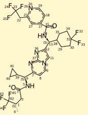 C[C@@H](CC(=O)N[C@H](c1ccn2cc([C@@H](NC(=O)c3ccnc(CC(F)(F)F)c3)C3CCC(F)(F)CC3)nc2n1)C1CC1)C(F)(F)F